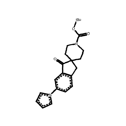 CC(C)(C)OC(=O)N1CCC2(CC1)Cc1ccc(-n3cccc3)cc1C2=O